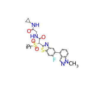 CC(C)S(=O)(=O)C(C(=O)NCC(=O)NC1CC1)c1nc2cc(-c3cccc4c3cnn4C)c(F)cc2s1